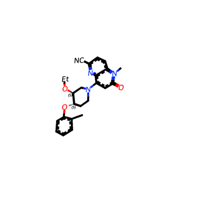 CCO[C@H]1CN(c2cc(=O)n(C)c3ccc(C#N)nc23)CC[C@@H]1Oc1ccccc1C